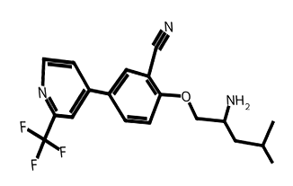 CC(C)CC(N)COc1ccc(-c2ccnc(C(F)(F)F)c2)cc1C#N